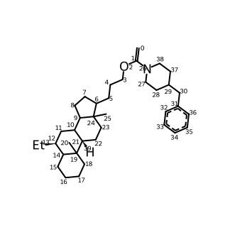 C=C(OCCCC1CCC2C3C[C@H](CC)C4CCCCC4(C)[C@H]3CCC12C)N1CCC(Cc2ccccc2)CC1